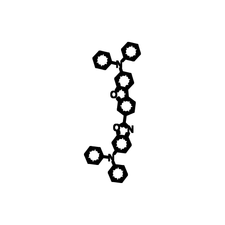 c1ccc(N(c2ccccc2)c2ccc3nc(-c4ccc5c(c4)oc4cc(N(c6ccccc6)c6ccccc6)ccc45)oc3c2)cc1